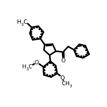 COc1ccc(OC)c(C2CC(c3ccc(C)cc3)=CC2C(=O)Cc2ccccc2)c1